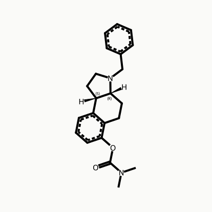 CN(C)C(=O)Oc1cccc2c1CC[C@@H]1[C@H]2CCN1Cc1ccccc1